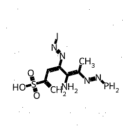 C=C(/C=C(N=NI)\C(N)=C(/C)N=NP)S(=O)(=O)O